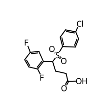 O=C(O)CCC(c1cc(F)ccc1F)S(=O)(=O)c1ccc(Cl)cc1